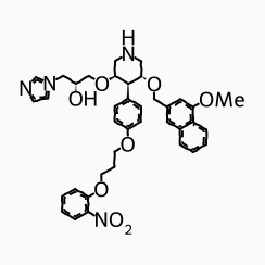 COc1cc(CO[C@H]2CNC[C@H](OC[C@H](O)Cn3ccnc3)[C@@H]2c2ccc(OCCCOc3ccccc3[N+](=O)[O-])cc2)cc2ccccc12